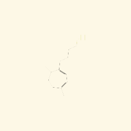 CC1=CC=C(CCCCS)C(C)CC1